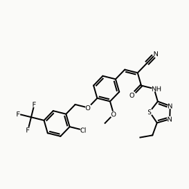 CCc1nnc(NC(=O)C(C#N)=Cc2ccc(OCc3cc(C(F)(F)F)ccc3Cl)c(OC)c2)s1